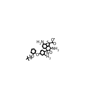 COC(=O)c1sc2c(N)ccc3c2c1C(N)C(=O)C3(N)c1ccc(Oc2ccccc2O[Si](C)(C)C(C)(C)C)cc1C